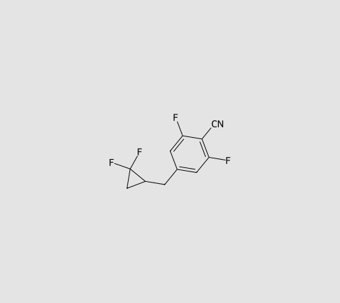 N#Cc1c(F)cc(CC2CC2(F)F)cc1F